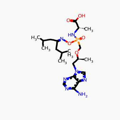 CC(C)CC(CC(C)C)=NOP(=O)(CO[C@@H](C)Cn1cnc2c(N)ncnc21)N[C@@H](C)C(=O)O